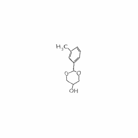 Cc1cccc(C2OCC(O)CO2)c1